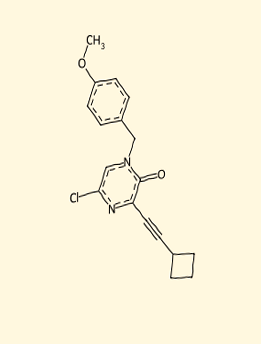 COc1ccc(Cn2cc(Cl)nc(C#CC3CCC3)c2=O)cc1